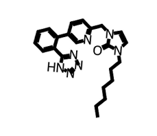 CCCCCCCn1ccn(Cc2ccc(-c3ccccc3-c3nnn[nH]3)cn2)c1=O